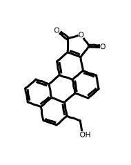 O=c1oc(=O)c2c1cc1c3cccc4ccc(CO)c(c5cccc2c15)c43